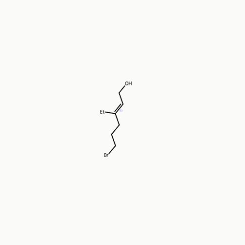 CC/C(=C\CO)CCCBr